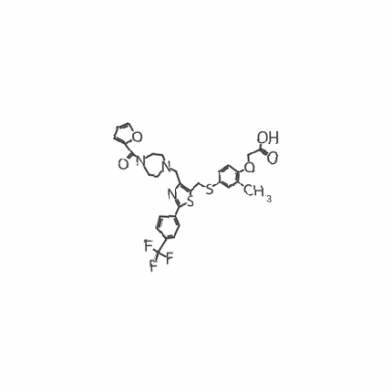 Cc1cc(SCc2sc(-c3ccc(C(F)(F)F)cc3)nc2CN2CCN(C(=O)c3ccco3)CC2)ccc1OCC(=O)O